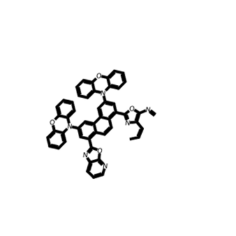 C=Nc1oc(-c2cc(N3c4ccccc4Oc4ccccc43)cc3c2ccc2c(-c4nc5cccnc5o4)cc(N4c5ccccc5Oc5ccccc54)cc23)nc1/C=C\C